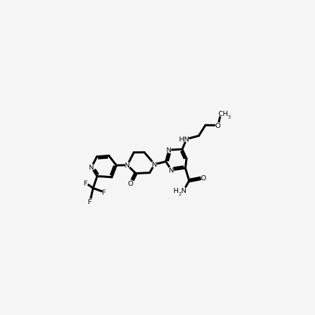 COCCNc1cc(C(N)=O)nc(N2CCN(c3ccnc(C(F)(F)F)c3)C(=O)C2)n1